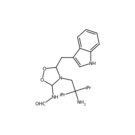 CC(C)C(N)(CN1C(Cc2c[nH]c3ccccc23)OOC1NC=O)C(C)C